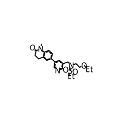 CCOCCN(Cc1cncc(-c2ccc3c(c2)CCC(=O)N3C)c1)S(=O)(=O)CC